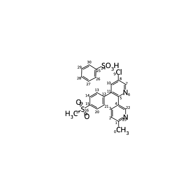 Cc1ccc(-c2ncc(Cl)cc2-c2ccc(S(C)(=O)=O)cc2)cn1.O=S(=O)(O)c1ccccc1